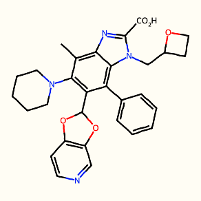 Cc1c(N2CCCCC2)c(C2Oc3ccncc3O2)c(-c2ccccc2)c2c1nc(C(=O)O)n2CC1CCO1